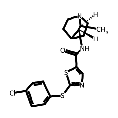 C[C@H]1[C@H](NC(=O)c2cnc(Sc3ccc(Cl)cc3)s2)C2CCN1CC2